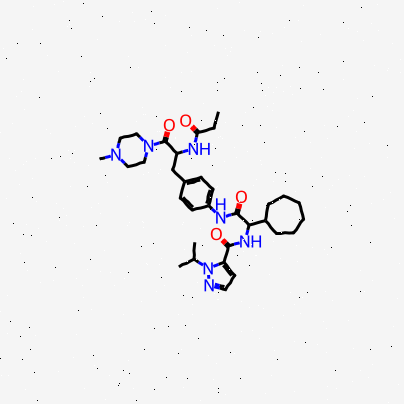 CCC(=O)NC(Cc1ccc(NC(=O)C(NC(=O)c2ccnn2C(C)C)C2CCCCCC2)cc1)C(=O)N1CCN(C)CC1